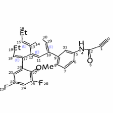 C#CC(=O)Nc1cccc(C(/C=C(C(\C)=C\CC)/C(=C\CC)c2cc(F)cc(F)c2OC)=C/C)c1